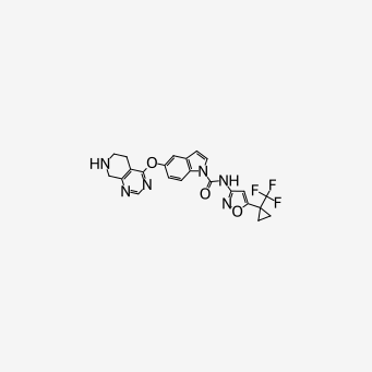 O=C(Nc1cc(C2(C(F)(F)F)CC2)on1)n1ccc2cc(Oc3ncnc4c3CCNC4)ccc21